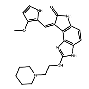 COc1cc[nH]c1/C=C1\C(=O)Nc2ccc3[nH]c(NCCN4CCCCC4)nc3c21